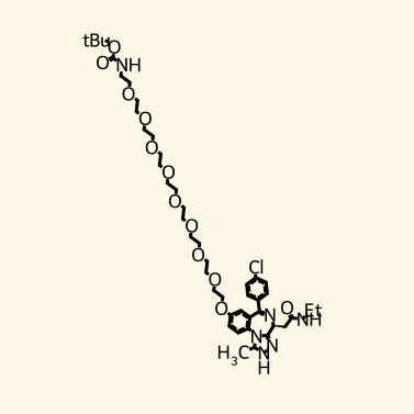 CCNC(=O)C[C@@H]1N=C(c2ccc(Cl)cc2)c2cc(OCCOCCOCCOCCOCCOCCOCCOCCOCCNC(=O)OC(C)(C)C)ccc2N2C1=NNC2C